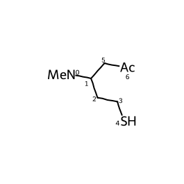 CNC(CCS)CC(C)=O